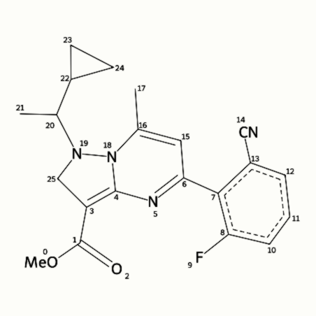 COC(=O)C1=C2N=C(c3c(F)cccc3C#N)C=C(C)N2N(C(C)C2CC2)C1